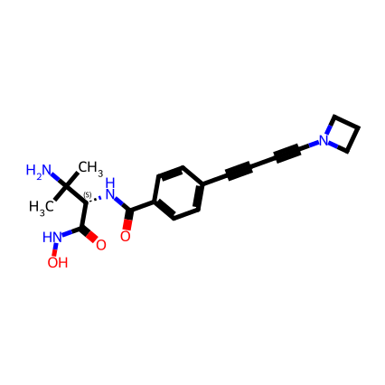 CC(C)(N)[C@H](NC(=O)c1ccc(C#CC#CN2CCC2)cc1)C(=O)NO